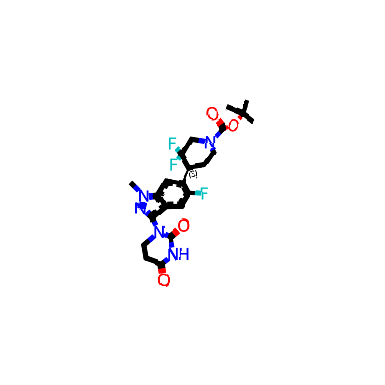 Cn1nc(N2CCC(=O)NC2=O)c2cc(F)c([C@@H]3CCN(C(=O)OC(C)(C)C)CC3(F)F)cc21